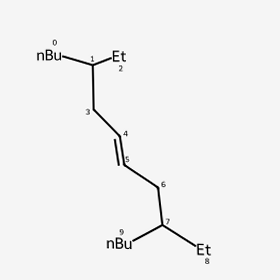 CCCCC(CC)C/C=C/CC(CC)CCCC